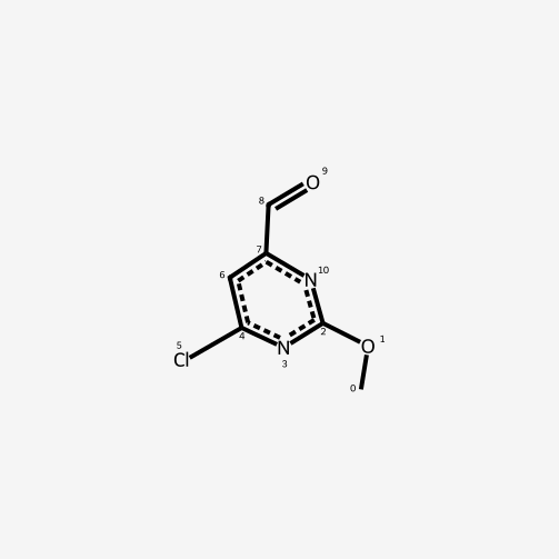 COc1nc(Cl)cc(C=O)n1